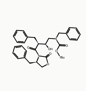 CC(C)(C)OC(=O)N(Cc1ccccc1)C[C@@H](O)[C@H](Cc1ccccc1)C(=O)N1C(=O)OC[C@H]1Cc1ccccc1